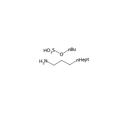 CCCCCCCCCCN.CCCCOS(=O)(=O)O